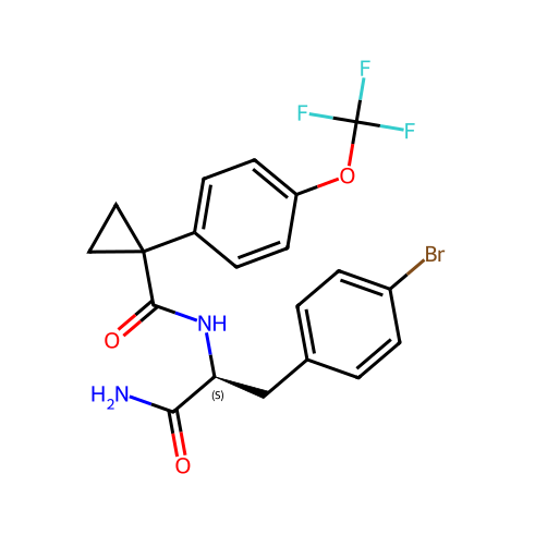 NC(=O)[C@H](Cc1ccc(Br)cc1)NC(=O)C1(c2ccc(OC(F)(F)F)cc2)CC1